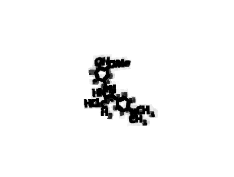 COc1cc(-c2nc(-c3ccc(N(C)C)cc3)c(C)[nH]2)ccc1O.Cl